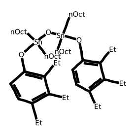 CCCCCCC[CH2][Sn]([CH2]CCCCCCC)([O]c1ccc(CC)c(CC)c1CC)[O][Sn]([CH2]CCCCCCC)([CH2]CCCCCCC)[O]c1ccc(CC)c(CC)c1CC